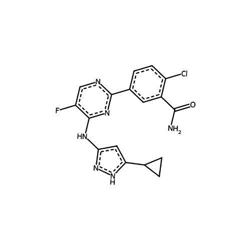 NC(=O)c1cc(-c2ncc(F)c(Nc3cc(C4CC4)[nH]n3)n2)ccc1Cl